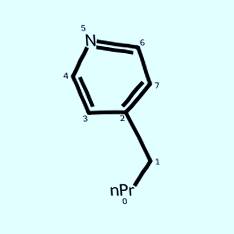 CCCCc1c[c]ncc1